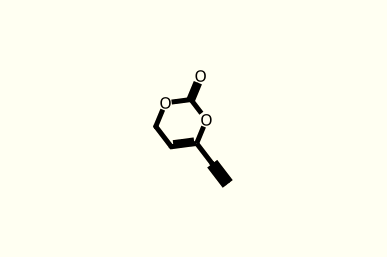 C#CC1=CCOC(=O)O1